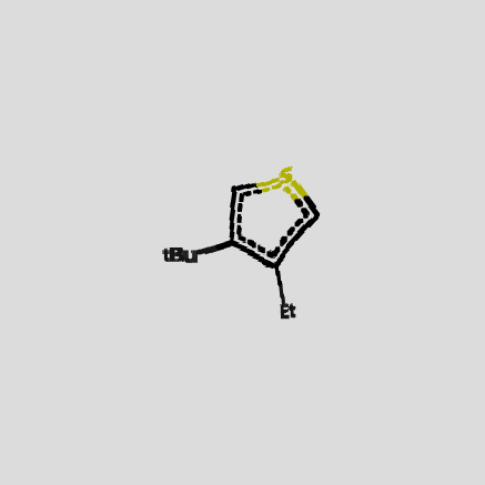 CCc1cscc1C(C)(C)C